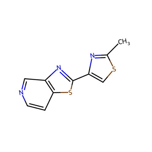 Cc1nc(-c2nc3cnccc3s2)cs1